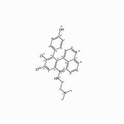 CN(C)CCNC(=O)c1cc(Cl)c(Cl)c(-c2ccc(O)cc2)c1-c1ccnc2ccccc12